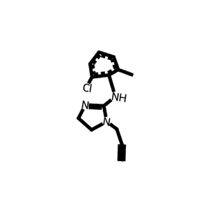 C#CCN1CCN=C1Nc1c(C)cccc1Cl